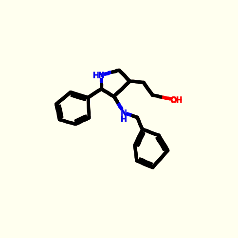 OCCC1CNC(c2ccccc2)C1NCc1ccccc1